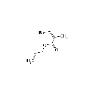 C=CCOC(=O)C(C)=CC(C)(C)C